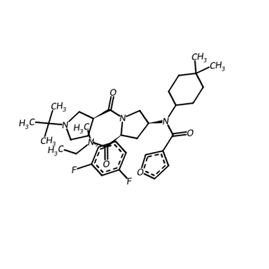 CCN(C)C(=O)[C@@H]1C[C@H](N(C(=O)c2ccoc2)C2CCC(C)(C)CC2)CN1C(=O)[C@@H]1CN(C(C)(C)C)C[C@H]1c1ccc(F)cc1F